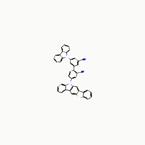 N#Cc1cc(-c2ccc(-n3c4ccccc4c4cc5oc6ccccc6c5cc43)cc2C#N)cc(-n2c3ccccc3c3ccccc32)c1